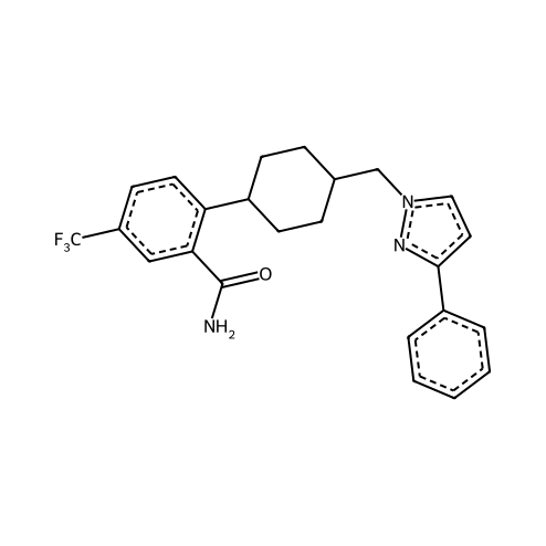 NC(=O)c1cc(C(F)(F)F)ccc1C1CCC(Cn2ccc(-c3ccccc3)n2)CC1